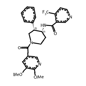 COc1cc(C(=O)N2CC[C@@H](NC(=O)c3cnccc3C(F)(F)F)[C@@H](c3ccccc3)C2)cnc1OC